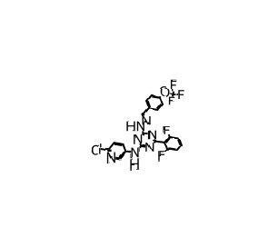 Fc1cccc(F)c1-c1nc(NN=Cc2ccc(OC(F)(F)F)cc2)nc(Nc2ccc(Cl)nc2)n1